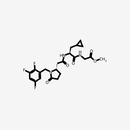 COC(=O)CNC(=O)[C@H](CC1CC1)NC(=O)C[C@@H]1CCC(=O)N1Cc1cc(F)cc(F)c1F